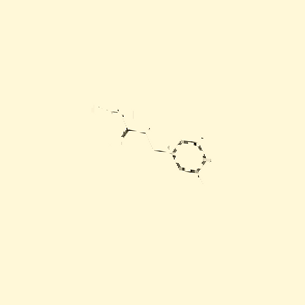 CCCNC(=O)CCc1cccc(F)c1